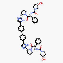 O=C(N[C@@H](C(=O)N1CCC[C@H]1c1ncc(-c2ccc(-c3ccc(-c4cnc([C@@H]5CCCN5C(=O)[C@H](NC(=O)N5CC[C@@H](O)C5)c5ccccc5)[nH]4)cc3)cc2)[nH]1)c1ccccc1)N1CC[C@@H](O)C1